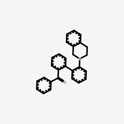 O=C(c1ccccc1)c1ccccc1-c1ccccc1N1CCc2ccccc2C1